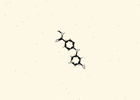 COC(=O)c1ccc(Oc2cncc(Cl)c2)cc1